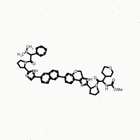 COC(=O)NC(C(=O)N1CCCC1c1nc2c([nH]1)COc1cc(-c3ccc4cc(-c5cnc(C6CCCN6C(=O)C(c6ccccc6)N(C)C)[nH]5)ccc4c3)ccc1-2)C1CCOCC1